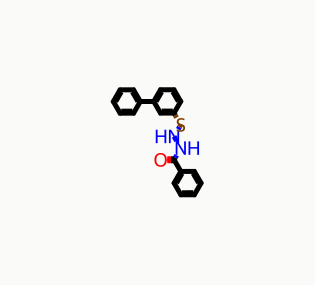 O=C(NNSc1cccc(-c2ccccc2)c1)c1ccccc1